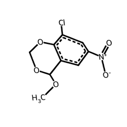 COC1OCOc2c(Cl)cc([N+](=O)[O-])cc21